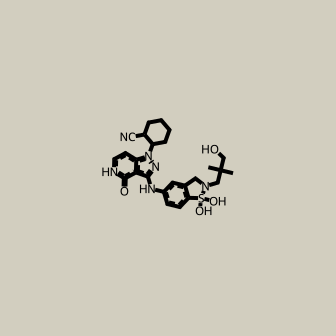 CC(C)(CO)CN1Cc2cc(Nc3nn(C4CCCCC4C#N)c4cc[nH]c(=O)c34)ccc2S1(O)O